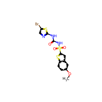 COc1ccc2sc(S(=O)(=O)NC(=O)Nc3ncc(Br)s3)cc2c1